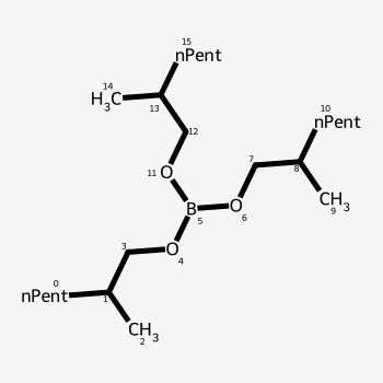 CCCCCC(C)COB(OCC(C)CCCCC)OCC(C)CCCCC